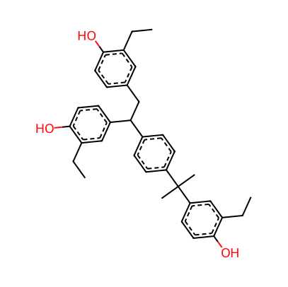 CCc1cc(CC(c2ccc(C(C)(C)c3ccc(O)c(CC)c3)cc2)c2ccc(O)c(CC)c2)ccc1O